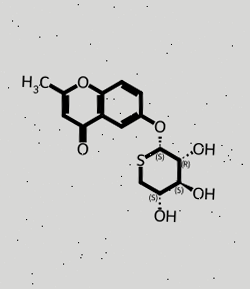 Cc1cc(=O)c2cc(O[C@H]3SC[C@@H](O)[C@H](O)[C@H]3O)ccc2o1